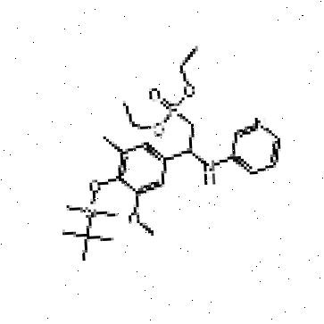 CCOP(=O)(CC(Nc1cccnc1)c1cc(C)c(O[Si](C)(C)C(C)(C)C)c(OC)c1)OCC